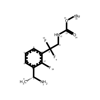 C[C@@H](N)c1cccc(C(F)(F)CNC(=O)OC(C)(C)C)c1F